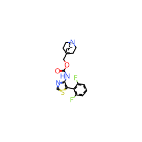 O=C(Nc1ncsc1-c1c(F)cccc1F)OCC12CCN(CC1)CC2